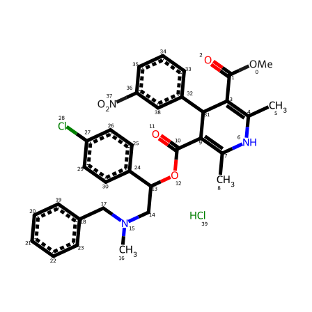 COC(=O)C1=C(C)NC(C)=C(C(=O)OC(CN(C)Cc2ccccc2)c2ccc(Cl)cc2)C1c1cccc([N+](=O)[O-])c1.Cl